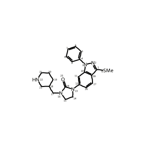 CSc1nn(-c2ccccc2)c2cc(N3CCN(CC4CCCNC4)C3=O)ccc12